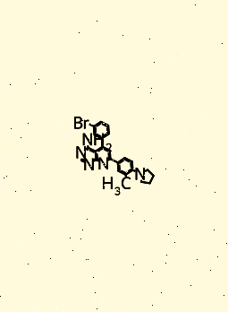 Cc1cc(-c2cc(-c3cccc(Br)c3)c3c(N)ncnc3n2)ccc1N1CCCC1